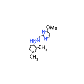 COc1ccnc(/C=N/Nc2ccc(C)cc2C)n1